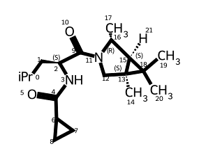 CC(C)C[C@H](NC(=O)C1CC1)C(=O)N1C[C@@]2(C)[C@@H]([C@H]1C)C2(C)C